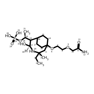 CCC1(C)CC2(OCCOCC(N)=O)CCC(CC2)C([C@H](C)OP(=O)(O)O)[C@H](O)N1